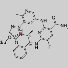 Cc1ncc(Nc2nc(N[C@H](c3ccccc3)[C@H](C)NC(=O)OC(C)(C)C)c(F)cc2C(N)=O)cc1-n1nccn1